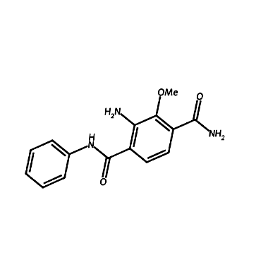 COc1c(C(N)=O)ccc(C(=O)Nc2ccccc2)c1N